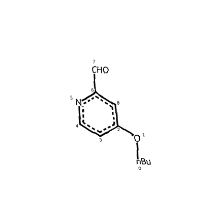 CCCCOc1ccnc(C=O)c1